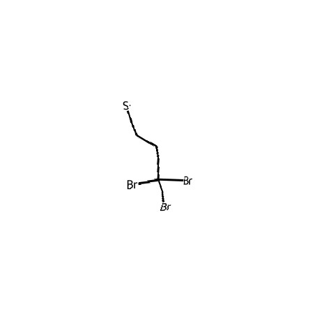 [S]CCC(Br)(Br)Br